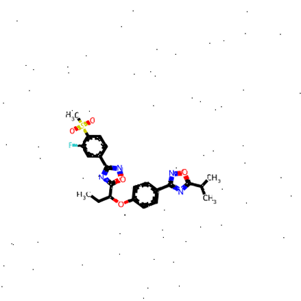 CCC(Oc1ccc(-c2noc(C(C)C)n2)cc1)c1nc(-c2ccc(S(C)(=O)=O)c(F)c2)no1